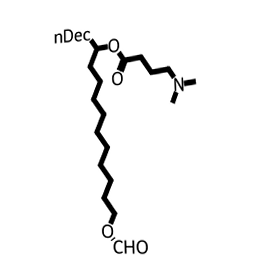 CCCCCCCCCCC(CCCCCCCCCCOC=O)OC(=O)CCCN(C)C